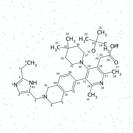 CCc1ncc(CN2CCc3cc(-c4c(C)nc(C)c([C@H](OC(C)(C)C)C(=O)O)c4N4CCC(C)(C)CC4)ccc3C2)[nH]1